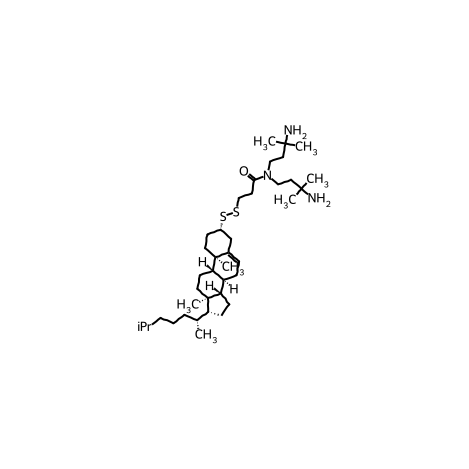 CC(C)CCC[C@@H](C)[C@H]1CC[C@H]2[C@@H]3CC=C4C[C@@H](SSCCC(=O)N(CCC(C)(C)N)CCC(C)(C)N)CC[C@]4(C)[C@H]3CC[C@]12C